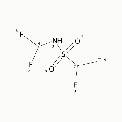 O=S(=O)(NC(F)F)C(F)F